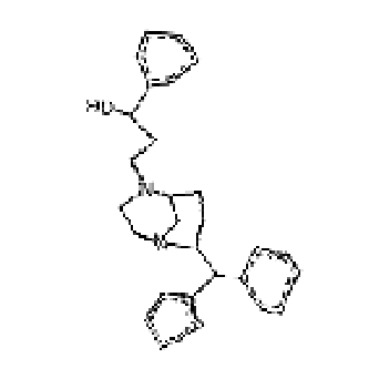 OC(CCN1CCN2CC1CCC2C(c1ccccc1)c1ccccc1)c1ccccc1